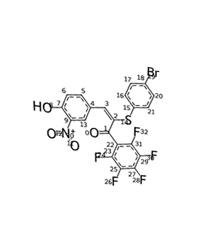 O=C(/C(=C\c1ccc(O)c([N+](=O)[O-])c1)Sc1ccc(Br)cc1)c1c(F)c(F)c(F)c(F)c1F